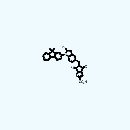 CC(C)C1Cc2cc(C=C3C(=O)c4cc(C(=O)O)sc4C3=O)ccc2N1c1ccc2c(c1)C(C)(C)c1ccccc1-2